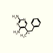 C[C@H](Cc1ccccc1)c1cnc(N)nc1N